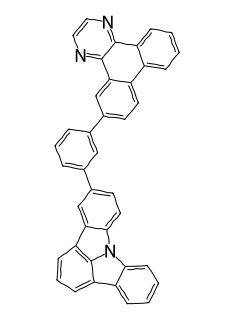 c1cc(-c2ccc3c4ccccc4c4nccnc4c3c2)cc(-c2ccc3c(c2)c2cccc4c5ccccc5n3c42)c1